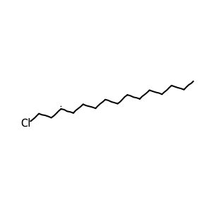 CCCCCCCCCCCC[CH]CCCl